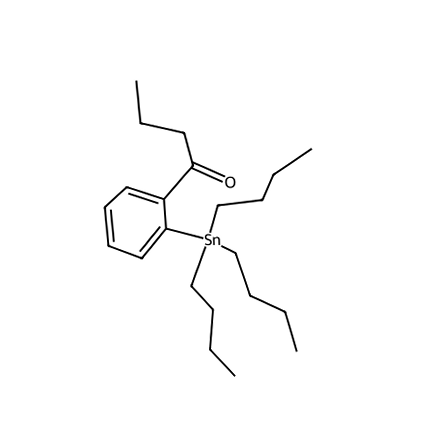 CCC[CH2][Sn]([CH2]CCC)([CH2]CCC)[c]1ccccc1C(=O)CCC